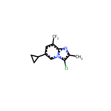 Cc1nc2c(C(F)(F)F)cc(C3CC3)cn2c1Cl